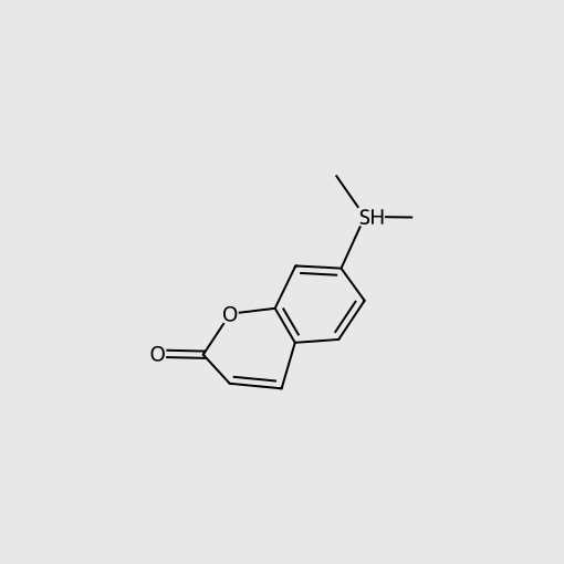 C[SH](C)c1ccc2ccc(=O)oc2c1